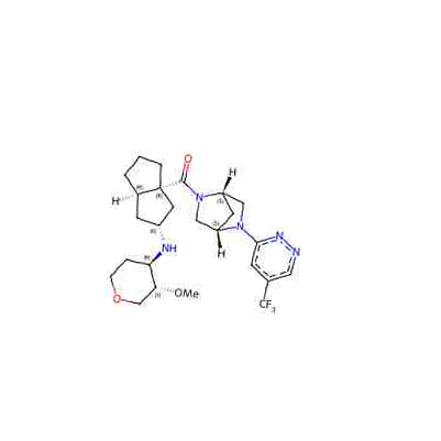 CO[C@@H]1COCC[C@H]1N[C@@H]1C[C@H]2CCC[C@@]2(C(=O)N2C[C@@H]3C[C@H]2CN3c2cc(C(F)(F)F)cnn2)C1